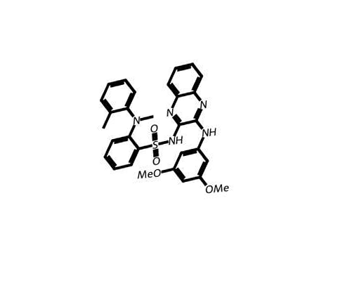 COc1cc(Nc2nc3ccccc3nc2NS(=O)(=O)c2ccccc2N(C)c2ccccc2C)cc(OC)c1